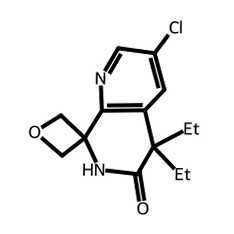 CCC1(CC)C(=O)NC2(COC2)c2ncc(Cl)cc21